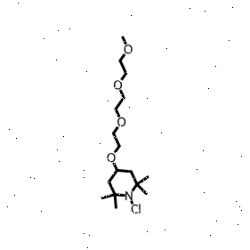 COCCOCCOCCOC1CC(C)(C)N(Cl)C(C)(C)C1